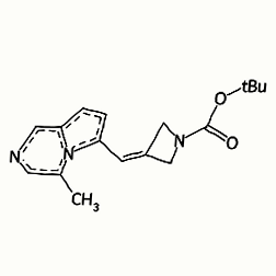 Cc1cncc2ccc(C=C3CN(C(=O)OC(C)(C)C)C3)n12